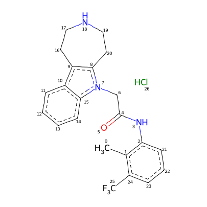 Cc1c(NC(=O)Cn2c3c(c4ccccc42)CCNCC3)cccc1C(F)(F)F.Cl